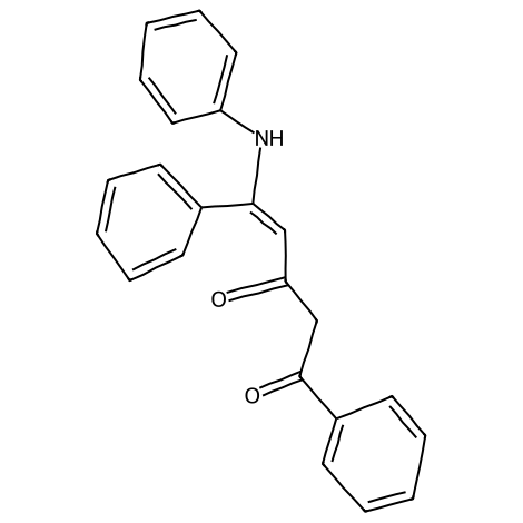 O=C(/C=C(/Nc1ccccc1)c1ccccc1)CC(=O)c1ccccc1